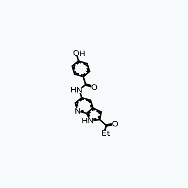 CCC(=O)c1cc2cc(NC(=O)c3ccc(O)cc3)cnc2[nH]1